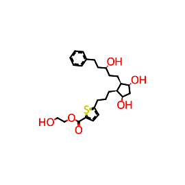 O=C(OCCO)c1ccc(CCC[C@H]2[C@@H](CC[C@@H](O)CCc3ccccc3)[C@H](O)C[C@H]2O)s1